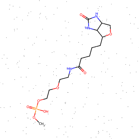 COP(=O)(O)OCCOCCNC(=O)CCCCC1OCC2NC(=O)NC21